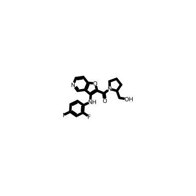 O=C(c1oc2ccncc2c1Nc1ccc(I)cc1F)N1CCCC1CO